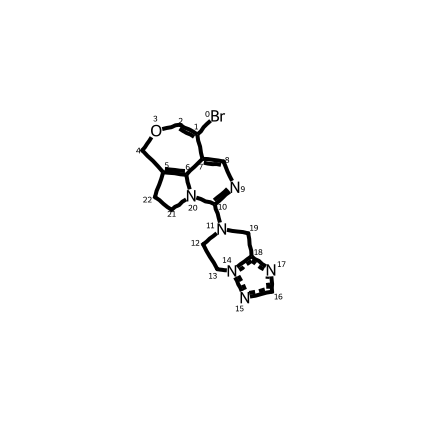 BrC1=COCC2=C3C1=CN=C(N1CCn4ncnc4C1)N3CC2